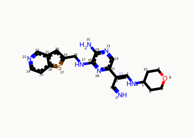 N=C/C(=C\NC1CCOCC1)c1cnc(N)c(NCc2cc3cnccc3s2)n1